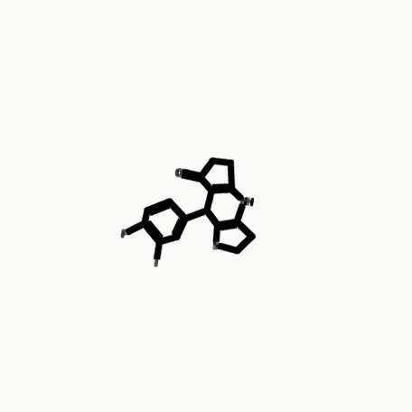 O=C1CCC2=C1C(c1ccc(F)c(I)c1)C1=C(CCS1)N2